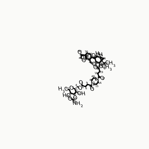 CC1O[C@H](COC(=O)CCC(=O)N2CCN(C(=O)CCC(=O)O[C@@H]3[C@@]4(C(C)C)C[C@H]4[C@@H]4O[C@@]45[C@@]4(C)CCC6=C(OCC6=O)C4CO[C@]35C)CC2)[C@@H](O)[C@H](OC(N)=O)[C@@H]1O